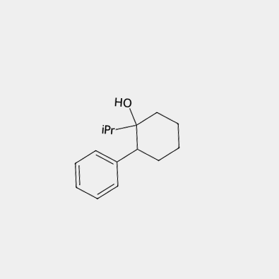 CC(C)C1(O)CCCCC1c1ccccc1